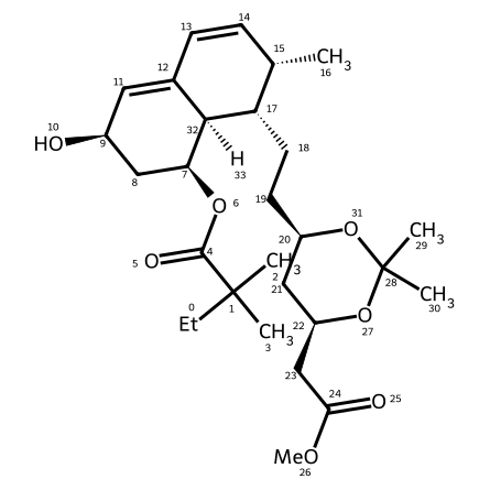 CCC(C)(C)C(=O)O[C@H]1C[C@@H](O)C=C2C=C[C@H](C)[C@H](CC[C@@H]3C[C@H](CC(=O)OC)OC(C)(C)O3)[C@H]21